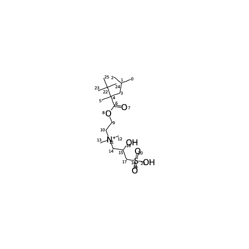 CC(C)CC(C)(C(=O)OCC[N+](C)(C)CC(O)CS(=O)(=O)O)C(C)(C)C